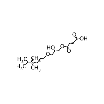 CC(C)S(C)(C)CCCOCC(O)COC(=O)/C=C/C(=O)O